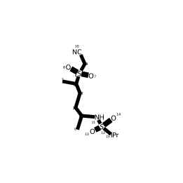 CC(CCC(C)S(=O)(=O)CC#N)NS(=O)(=O)C(C)C